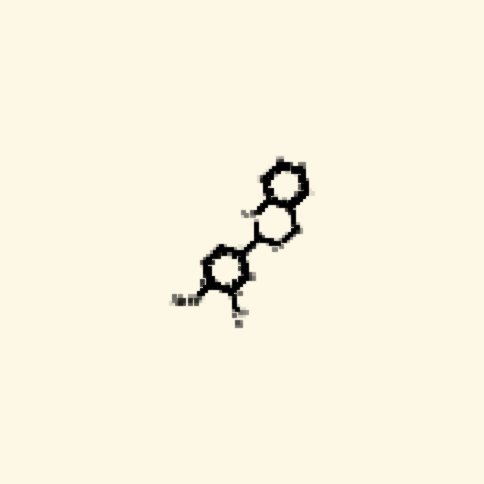 COc1ccc(C2SCc3ccccc3S2)cc1O